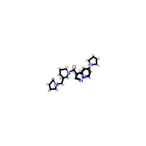 O=C(c1cnn2ccc(N3CCCC3)cc12)N1CCCC(CN2CCCC2)C1